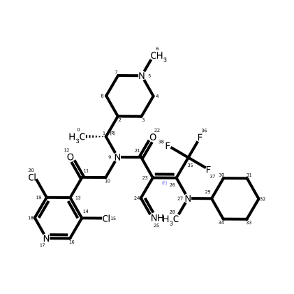 C[C@H](C1CCN(C)CC1)N(CC(=O)c1c(Cl)cncc1Cl)C(=O)/C(C=N)=C(/N(C)C1CCCCC1)C(F)(F)F